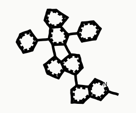 Cc1cc2cccc(-c3ccc4c5c(cccc35)-c3c-4c(-c4ccccc4)c4ccccc4c3-c3ccccc3)c2cn1